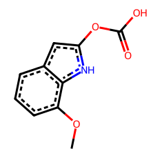 COc1cccc2cc(OC(=O)O)[nH]c12